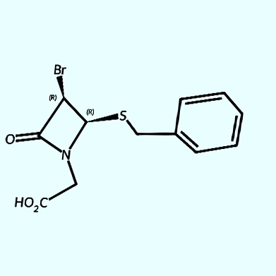 O=C(O)CN1C(=O)[C@@H](Br)[C@H]1SCc1ccccc1